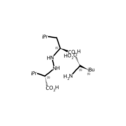 CC(C)C[C@H](NN[C@H](C(=O)O)C(C)C)C(=O)O.CC[C@H](C)[C@H](N)C(=O)O